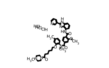 COc1cc(C(=O)N(C)c2ccc(C)cc2OCCCCCC(=O)N2CCN(C)CC2)ccc1C(=O)Nc1cccc2[nH]c(-c3cccnc3)nc12.Cl.Cl.Cl